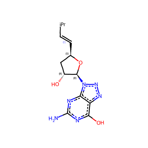 CC(C)/C=C/[C@@H]1C[C@@H](O)[C@H](n2nnc3c(O)nc(N)nc32)O1